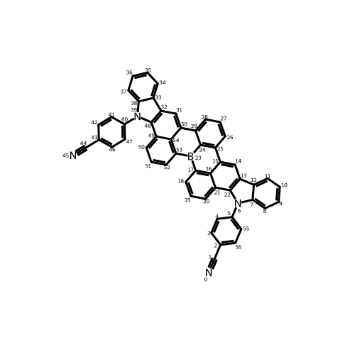 N#Cc1ccc(-n2c3ccccc3c3cc4c5c(cccc5c32)B2c3c-4cccc3-c3cc4c5ccccc5n(-c5ccc(C#N)cc5)c4c4cccc2c34)cc1